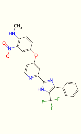 CNc1ccc(Oc2ccnc(-c3nc(-c4ccccc4)c(C(F)(F)F)[nH]3)c2)cc1[N+](=O)[O-]